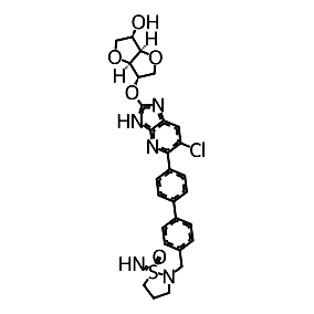 N=S1(=O)CCCN1Cc1ccc(-c2ccc(-c3nc4[nH]c(O[C@@H]5CO[C@H]6[C@@H]5OC[C@H]6O)nc4cc3Cl)cc2)cc1